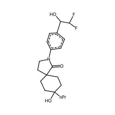 CCCC1(O)CCC2(CCN(c3ccc(C(O)C(F)F)cc3)C2=O)CC1